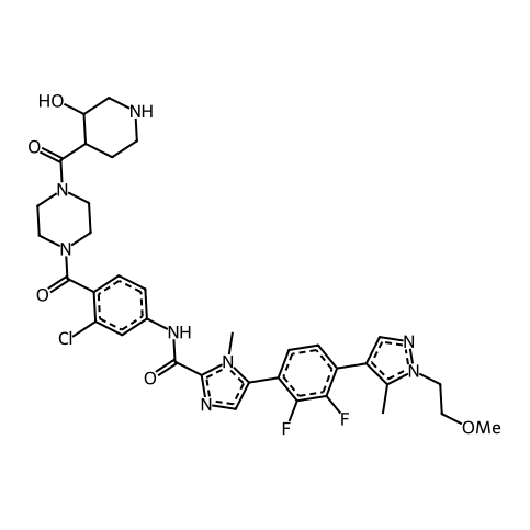 COCCn1ncc(-c2ccc(-c3cnc(C(=O)Nc4ccc(C(=O)N5CCN(C(=O)C6CCNCC6O)CC5)c(Cl)c4)n3C)c(F)c2F)c1C